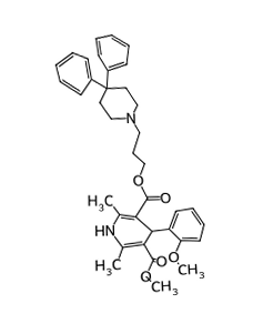 COC(=O)C1=C(C)NC(C)=C(C(=O)OCCCN2CCC(c3ccccc3)(c3ccccc3)CC2)C1c1ccccc1OC